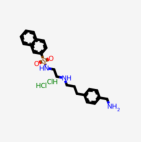 Cl.Cl.NCc1ccc(CCCNCCNS(=O)(=O)c2ccc3ccccc3c2)cc1